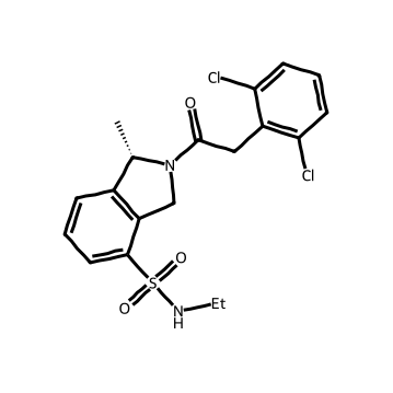 CCNS(=O)(=O)c1cccc2c1CN(C(=O)Cc1c(Cl)cccc1Cl)[C@H]2C